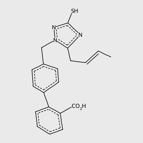 C/C=C/Cc1nc(S)nn1Cc1ccc(-c2ccccc2C(=O)O)cc1